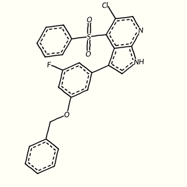 O=S(=O)(c1ccccc1)c1c(Cl)cnc2[nH]cc(-c3cc(F)cc(OCc4ccccc4)c3)c12